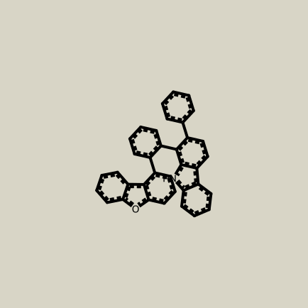 c1ccc(-c2ccc3c([nH]c4ccccc43)c2-c2ccccc2-c2cccc3oc4ccccc4c23)cc1